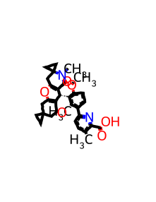 COc1ccc(-c2ccc(C)c(C(=O)O)n2)c(C)c1[C@@H]1C2=C(CC3(CC3)CC2=O)OC2=C1C(=O)N(C)C1(CC1)C2